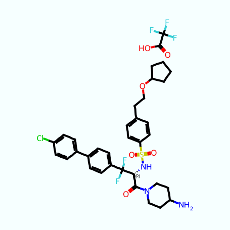 NC1CCN(C(=O)[C@@H](NS(=O)(=O)c2ccc(CCOC3CCCC3)cc2)C(F)(F)c2ccc(-c3ccc(Cl)cc3)cc2)CC1.O=C(O)C(F)(F)F